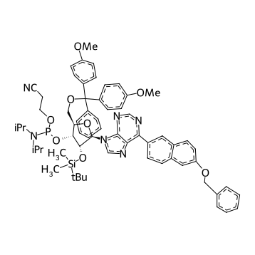 COc1ccc(C(OC[C@H]2O[C@@H](n3cnc4c(-c5ccc6cc(OCc7ccccc7)ccc6c5)ncnc43)[C@H](O[Si](C)(C)C(C)(C)C)[C@@H]2OP(OCCC#N)N(C(C)C)C(C)C)(c2ccccc2)c2ccc(OC)cc2)cc1